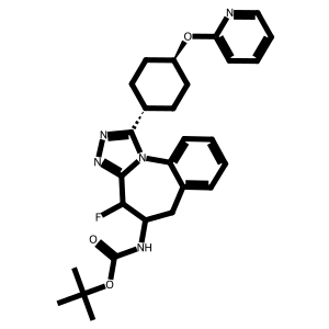 CC(C)(C)OC(=O)NC1Cc2ccccc2-n2c(nnc2[C@H]2CC[C@H](Oc3ccccn3)CC2)C1F